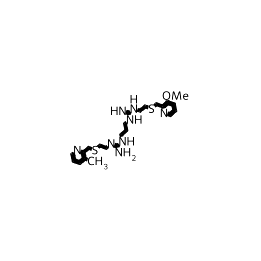 COc1cccnc1CSCCNC(=N)NCCCNC(N)=NCCSCc1ncccc1C